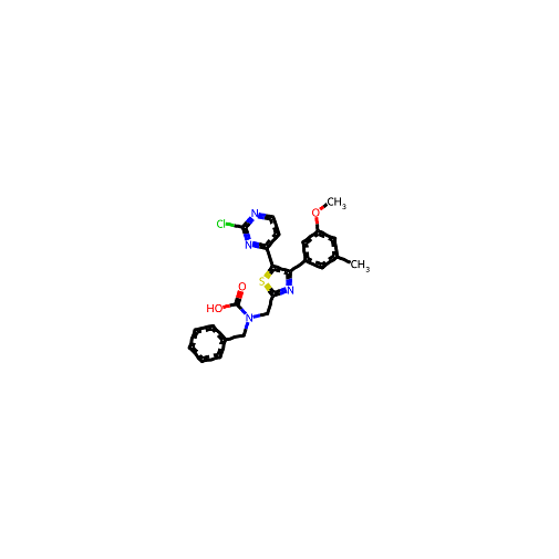 COc1cc(C)cc(-c2nc(CN(Cc3ccccc3)C(=O)O)sc2-c2ccnc(Cl)n2)c1